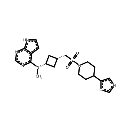 CN(c1ncnc2[nH]ccc12)[C@H]1C[C@@H](CS(=O)(=O)N2CCC(c3cnco3)CC2)C1